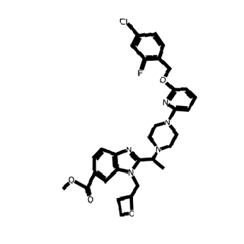 COC(=O)c1ccc2nc(C(C)N3CCN(c4cccc(OCc5ccc(Cl)cc5F)n4)CC3)n(CC3CCO3)c2c1